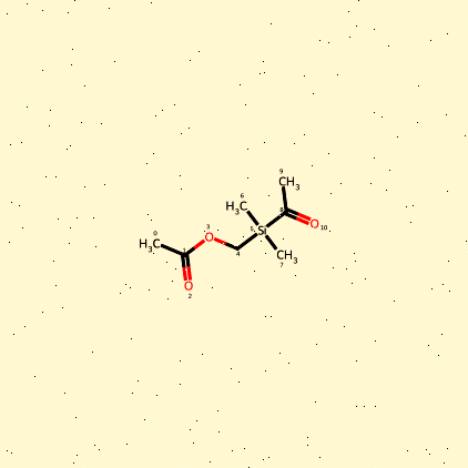 CC(=O)OC[Si](C)(C)C(C)=O